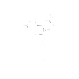 CCCCCCCC(=O)N[C@@H](CC(N)=O)CN(C)[C@@H](C)C(=O)OC